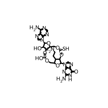 NCCC1C2COP(O)OC3C(COP(S)OC1C(n1cnc4c(=O)[nH]c(N)nc41)O2)OC(n1cnc2c(N)ncnc21)C3O